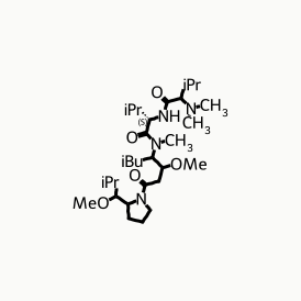 CCC(C)C(C(CC(=O)N1CCCC1C(OC)C(C)C)OC)N(C)C(=O)[C@@H](NC(=O)C(C(C)C)N(C)C)C(C)C